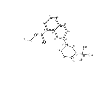 CCOC(=O)c1ccnc2ccc(N3CCO[C@@H](C(F)(F)F)C3)cc12